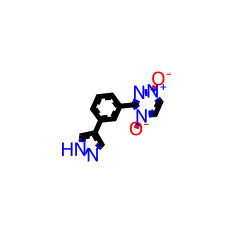 [O-][n+]1cc[n+]([O-])c(-c2cccc(-c3cn[nH]c3)c2)n1